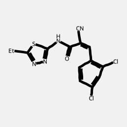 CCc1nnc(NC(=O)/C(C#N)=C\c2ccc(Cl)cc2Cl)s1